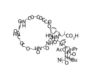 CC[C@H](C)[C@H](NC(=O)C(C)(C)N(C)C)C(=O)N(C)[C@H](C[C@@H](OC(C)=O)c1nc(C(=O)N[C@@H](Cc2ccc3c(c2)NC(=O)C(C)NC(=O)C(C)NC(=O)CCOCCOCCNC(=O)C#CC(=O)NCCOCCOCCC(=O)O3)CC(C)C(=O)O)cs1)C(C)C